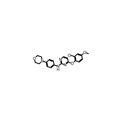 COc1ccc(Oc2ccnc(Nc3ccc(N4CCOCC4)cc3)n2)c(Cl)c1